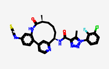 Cc1c(C(=O)N[C@H]2CCC[C@@H](C)C(=O)Nc3cc(N=C=S)ccc3-c3ccnc2c3)nnn1-c1cccc(Cl)c1F